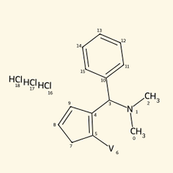 CN(C)C(C1=[C]([V])CC=C1)c1ccccc1.Cl.Cl.Cl